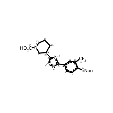 CCCCCCCCCc1ccc(-c2noc([C@@H]3CCCN(C(=O)O)C3)n2)cc1C(F)(F)F